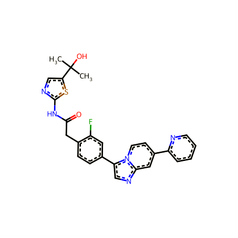 CC(C)(O)c1cnc(NC(=O)Cc2ccc(-c3cnc4cc(-c5ccccn5)ccn34)cc2F)s1